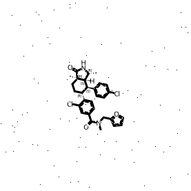 C[C@H]1NC(=O)[C@]2(C)CC[C@@H](c3ccc(C(=O)N(C)Cc4ccco4)cc3Cl)[C@H](c3ccc(Cl)cc3)[C@H]12